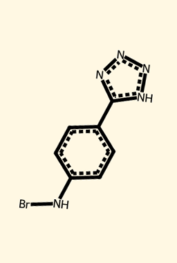 BrNc1ccc(-c2nnn[nH]2)cc1